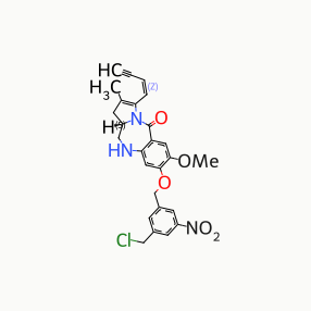 C#C/C=C\C1=C(C)C[C@H]2CNc3cc(OCc4cc(CCl)cc([N+](=O)[O-])c4)c(OC)cc3C(=O)N12